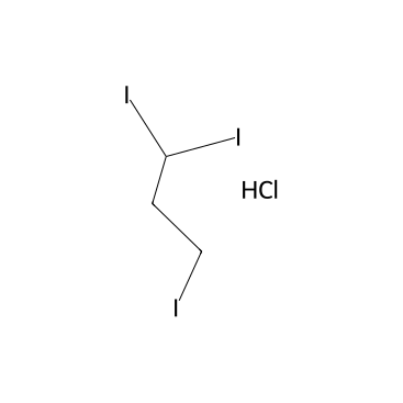 Cl.ICCC(I)I